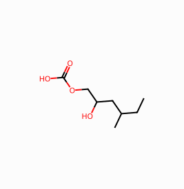 CCC(C)CC(O)COC(=O)O